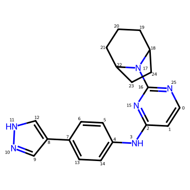 c1cc(Nc2ccc(-c3cn[nH]c3)cc2)nc(N2C3CCCC2CC3)n1